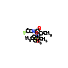 Cc1cc(C(C)N[S@+]([O-])C(C)(C)C)c2oc(N3Cc4ccc(F)cc4C3)cc(=O)c2c1